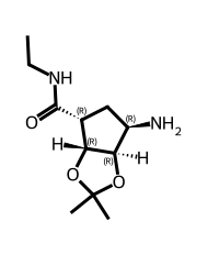 CCNC(=O)[C@@H]1C[C@@H](N)[C@H]2OC(C)(C)O[C@@H]21